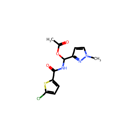 CC(=O)OC(NC(=O)c1ccc(Cl)s1)c1ccn(C)n1